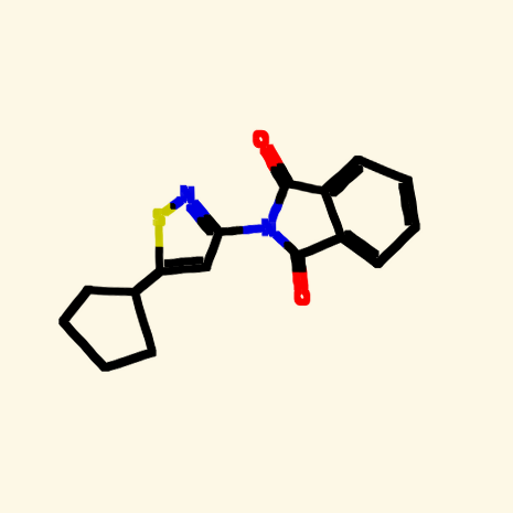 O=C1c2ccccc2C(=O)N1c1cc(C2CCCC2)sn1